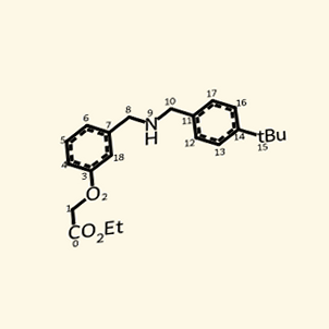 CCOC(=O)COc1cccc(CNCc2ccc(C(C)(C)C)cc2)c1